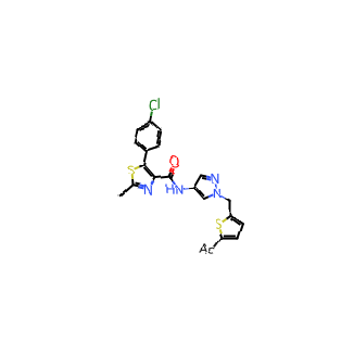 CC(=O)c1ccc(Cn2cc(NC(=O)c3nc(C)sc3-c3ccc(Cl)cc3)cn2)s1